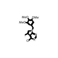 COc1cc(Cn2cc(I)c3c(Cl)ncnc32)cc(OC)c1OC